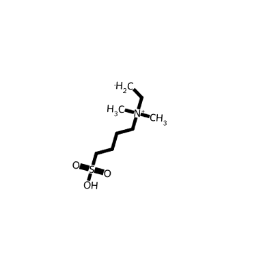 [CH2]C[N+](C)(C)CCCCS(=O)(=O)O